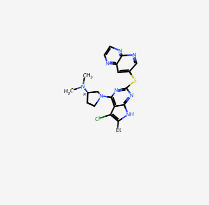 CCc1[nH]c2nc(Sc3cnc4nccnc4c3)nc(N3CC[C@@H](N(C)C)C3)c2c1Cl